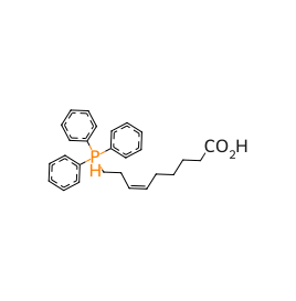 O=C(O)CCCC/C=C\CC[PH](c1ccccc1)(c1ccccc1)c1ccccc1